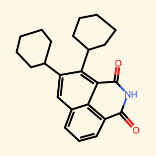 O=C1NC(=O)c2c(C3CCCCC3)c(C3CCCCC3)cc3cccc1c23